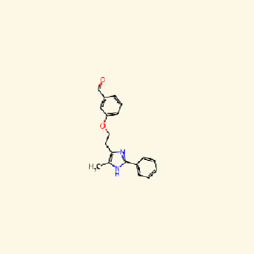 Cc1[nH]c(-c2ccccc2)nc1CCOc1cccc(C=O)c1